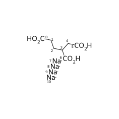 O=C(O)CCC(CC(=O)O)C(=O)O.[Na].[Na].[Na].[Na]